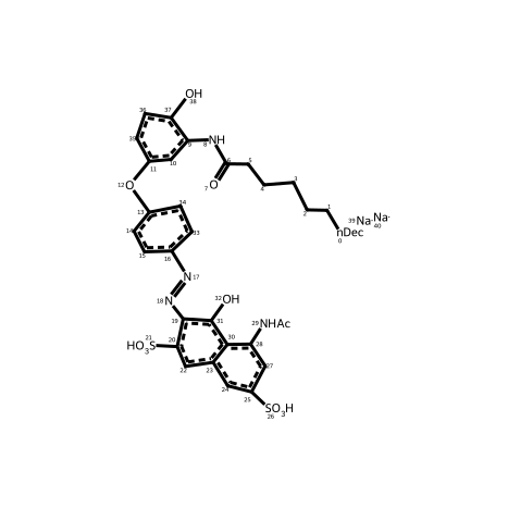 CCCCCCCCCCCCCCCC(=O)Nc1cc(Oc2ccc(N=Nc3c(S(=O)(=O)O)cc4cc(S(=O)(=O)O)cc(NC(C)=O)c4c3O)cc2)ccc1O.[Na].[Na]